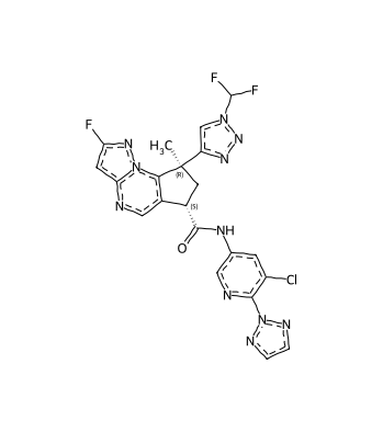 C[C@]1(c2cn(C(F)F)nn2)C[C@H](C(=O)Nc2cnc(-n3nccn3)c(Cl)c2)c2cnc3cc(F)nn3c21